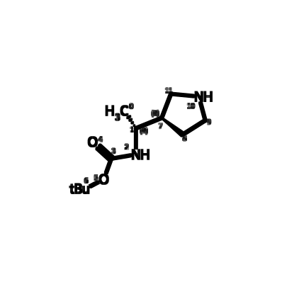 C[C@@H](NC(=O)OC(C)(C)C)[C@@H]1CCNC1